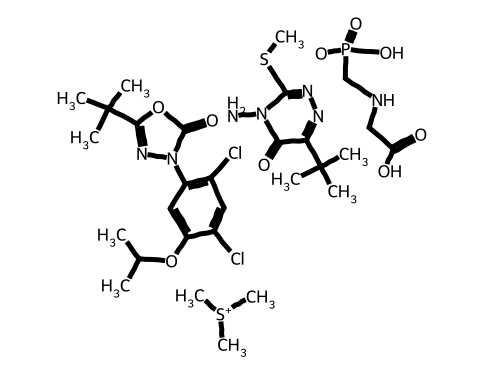 CC(C)Oc1cc(-n2nc(C(C)(C)C)oc2=O)c(Cl)cc1Cl.CSc1nnc(C(C)(C)C)c(=O)n1N.C[S+](C)C.O=C(O)CNCP(=O)([O-])O